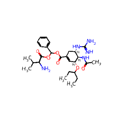 CCC(CC)O[C@@H]1C=C(C(=O)OC(OC(=O)C(N)C(C)C)c2ccccc2)C[C@H](NC(=N)N)[C@H]1NC(C)=O